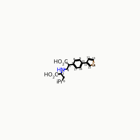 CC(C)CC(NCC(C(=O)O)c1ccc(-c2ccsc2)cc1)C(=O)O